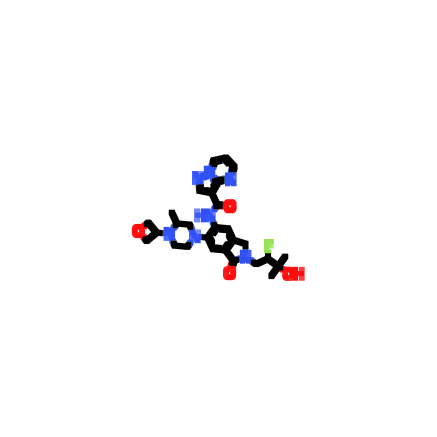 CC1CN(c2cc3c(cc2NC(=O)c2cnn4cccnc24)CN(CC(F)C(C)(C)O)C3=O)CCN1C1COC1